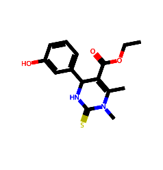 CCOC(=O)C1=C(C)N(C)C(=S)NC1c1cccc(O)c1